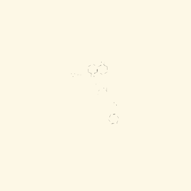 COc1ccc2nccc(C3CN(C4CCN(Cc5ccc(C)c(C)c5)CC4)C(=O)O3)c2n1